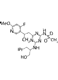 COc1cc(F)c(C(C)Cc2nc(NC(CO)CC(C)C)nc(NS(C)(=O)=O)n2)cn1